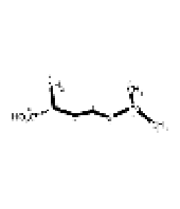 C[As](C)SCC[C@@H](N)C(=O)O